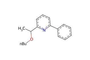 CCCCOC(C)c1cccc(-c2ccccc2)n1